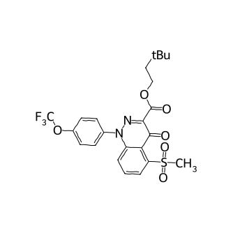 CC(C)(C)CCOC(=O)c1nn(-c2ccc(OC(F)(F)F)cc2)c2cccc(S(C)(=O)=O)c2c1=O